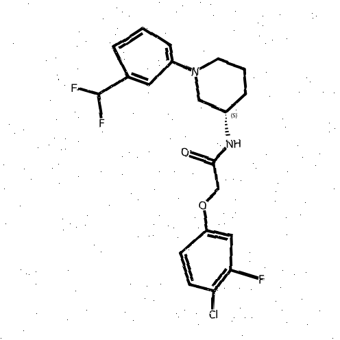 O=C(COc1ccc(Cl)c(F)c1)N[C@H]1CCCN(c2cccc(C(F)F)c2)C1